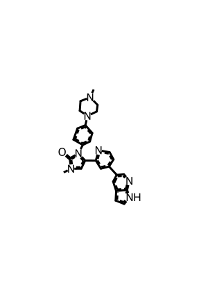 CN1CCN(c2ccc(-n3c(-c4cc(-c5cnc6[nH]ccc6c5)ccn4)cn(C)c3=O)cc2)CC1